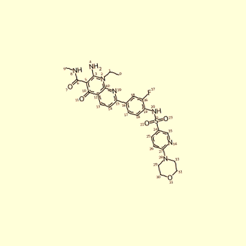 CCn1c(N)c(C(=O)NC)c(=O)c2ccc(-c3ccc(NS(=O)(=O)c4ccc(N5CCOCC5)nc4)c(F)c3)nc21